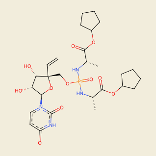 C=C[C@]1(COP(=O)(N[C@@H](C)C(=O)OC2CCCC2)N[C@@H](C)C(=O)OC2CCCC2)O[C@@H](n2ccc(=O)[nH]c2=O)[C@H](O)[C@@H]1O